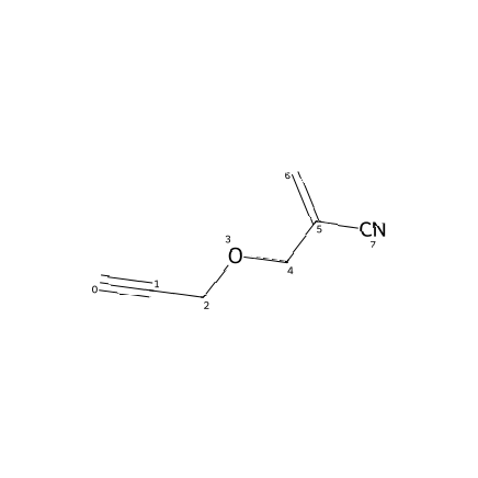 C#CCOCC(=C)C#N